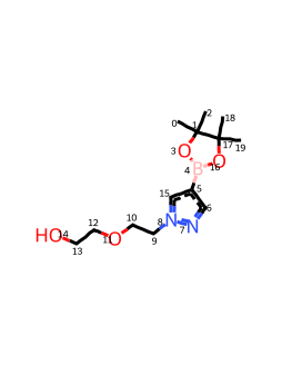 CC1(C)OB(c2cnn(CCOCCO)c2)OC1(C)C